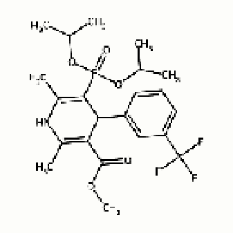 COC(=O)C1=C(C)NC(C)=C(P(=O)(OC(C)C)OC(C)C)C1c1cccc(C(F)(F)F)c1